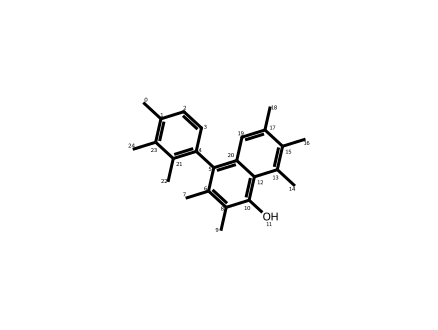 Cc1ccc(-c2c(C)c(C)c(O)c3c(C)c(C)c(C)cc23)c(C)c1C